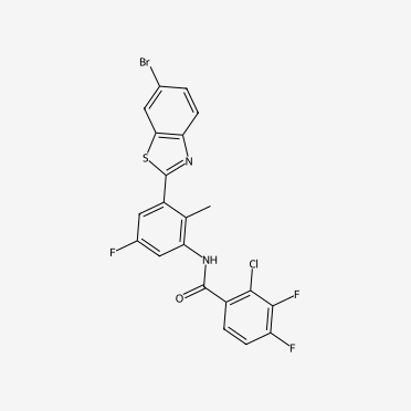 Cc1c(NC(=O)c2ccc(F)c(F)c2Cl)cc(F)cc1-c1nc2ccc(Br)cc2s1